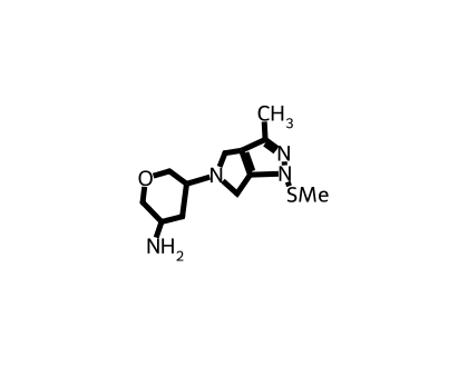 CSn1nc(C)c2c1CN(C1COCC(N)C1)C2